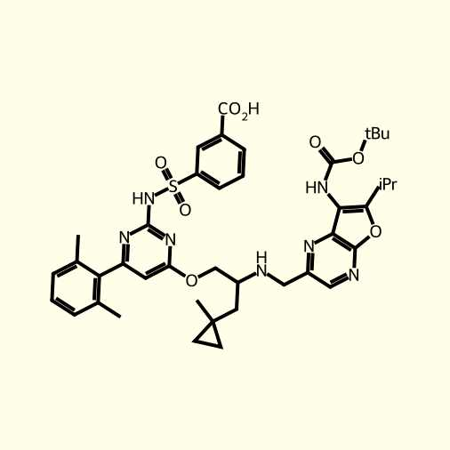 Cc1cccc(C)c1-c1cc(OCC(CC2(C)CC2)NCc2cnc3oc(C(C)C)c(NC(=O)OC(C)(C)C)c3n2)nc(NS(=O)(=O)c2cccc(C(=O)O)c2)n1